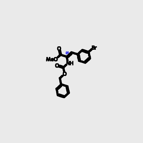 COC(=O)/C(=C/c1cccc(Br)c1)NC(=O)OCc1ccccc1